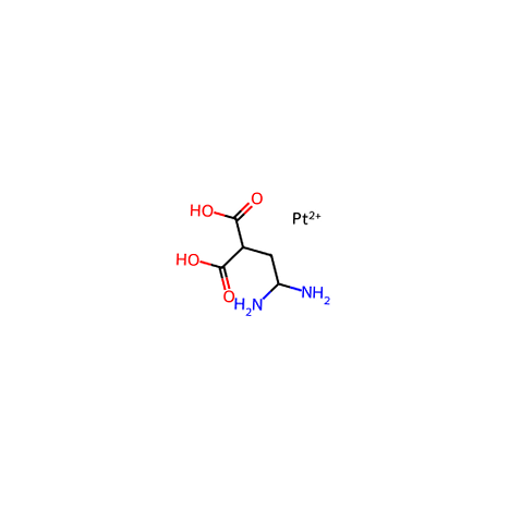 NC(N)CC(C(=O)O)C(=O)O.[Pt+2]